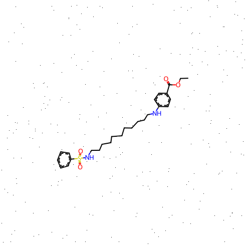 CCOC(=O)c1ccc(NCCCCCCCCCCCNS(=O)(=O)c2ccccc2)cc1